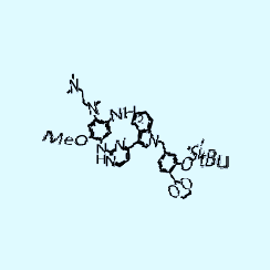 COc1cc(N(C)CCN(C)C)c(N)cc1Nc1nccc(-c2cn(Cc3ccc(C4OCCO4)c(O[Si](C)(C)C(C)(C)C)c3)c3ccccc23)n1